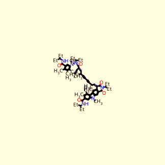 CCC(CC)NC(=O)c1cc2c(c(C)c1C)C/C(C)=C/C(=C\C(C)C#CC#CC(C)/C=C1/C(=O)N(C(CC)CC)C(=O)c3cc4c(c(C)c31)c1c(C)c(C)c(C(=O)NC(CC)CC)cc1n4C)C(=O)N(C(CC)CC)N2C